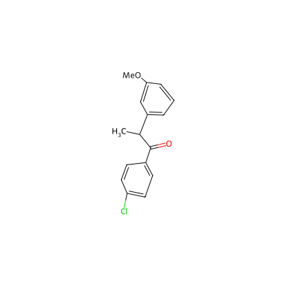 COc1cccc(C(C)C(=O)c2ccc(Cl)cc2)c1